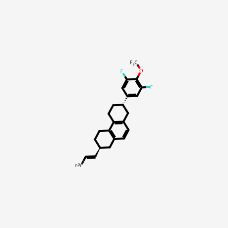 CCCC=C[C@H]1CCc2c(ccc3c2CC[C@H](c2cc(F)c(OC(F)(F)F)c(F)c2)C3)C1